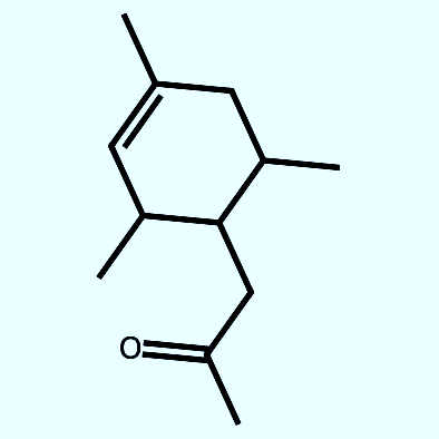 CC(=O)CC1C(C)C=C(C)CC1C